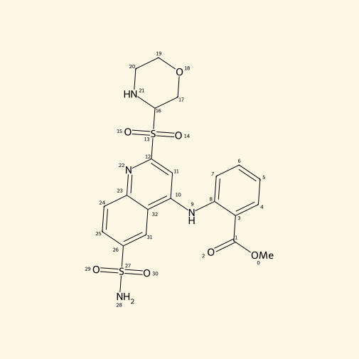 COC(=O)c1ccccc1Nc1cc(S(=O)(=O)C2COCCN2)nc2ccc(S(N)(=O)=O)cc12